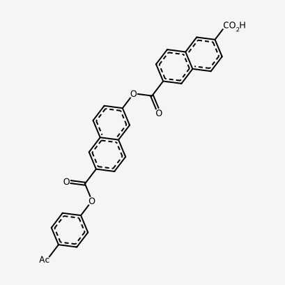 CC(=O)c1ccc(OC(=O)c2ccc3cc(OC(=O)c4ccc5cc(C(=O)O)ccc5c4)ccc3c2)cc1